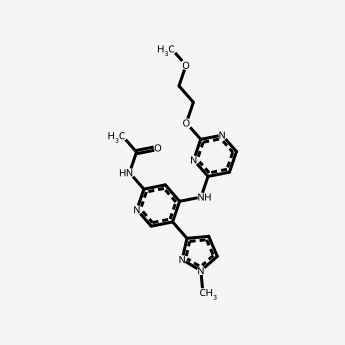 COCCOc1nccc(Nc2cc(NC(C)=O)ncc2-c2ccn(C)n2)n1